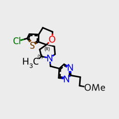 COCCc1ncc(CN2CC[C@]3(C[C@@H]2C)OCCc2cc(Cl)sc23)cn1